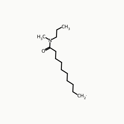 [CH2]CCCCCCCCC(=O)N(C)CCC